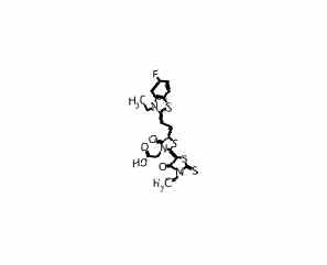 CCN1C(=O)/C(=c2/s/c(=C/C=C3\Sc4ccc(F)cc4N3CC)c(=O)n2CC(=O)O)SC1=S